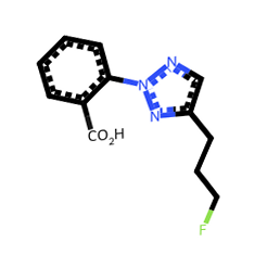 O=C(O)c1ccccc1-n1ncc(CCCF)n1